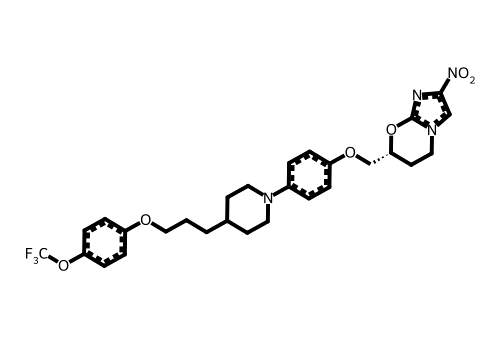 O=[N+]([O-])c1cn2c(n1)O[C@@H](COc1ccc(N3CCC(CCCOc4ccc(OC(F)(F)F)cc4)CC3)cc1)CC2